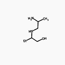 CCC(CO)NCC(C)N